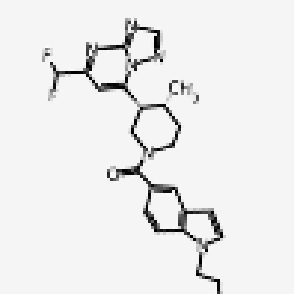 C[C@@H]1CCN(C(=O)c2ccc3c(ccn3CCF)c2)C[C@H]1c1cc(C(F)F)nc2ncnn12